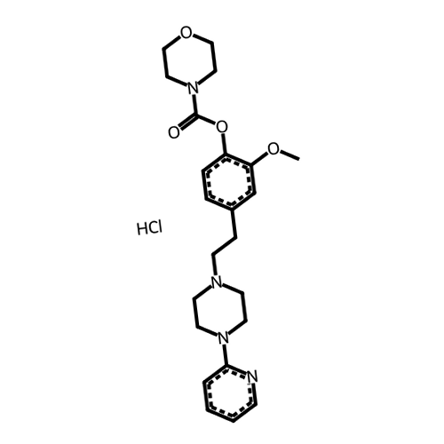 COc1cc(CCN2CCN(c3ccccn3)CC2)ccc1OC(=O)N1CCOCC1.Cl